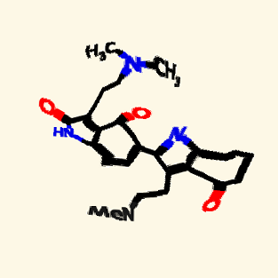 CNCCC1=C2C(=O)C=CC=C2N=C1C1=CC=C2NC(=O)C(CCN(C)C)=C2C1=O